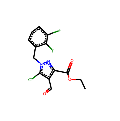 CCOC(=O)c1nn(Cc2cccc(F)c2F)c(Cl)c1C=O